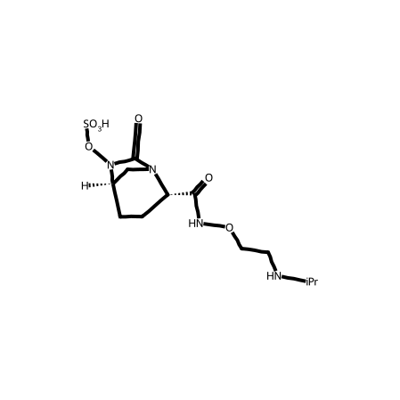 CC(C)NCCONC(=O)[C@@H]1CC[C@@H]2CN1C(=O)N2OS(=O)(=O)O